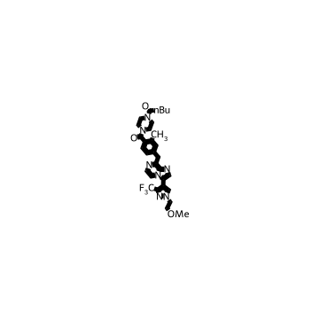 CCCCC(=O)N1CCN(C(=O)c2ccc(Cc3nccn4c(-c5cn(CCOC)nc5C(F)(F)F)cnc34)cc2C)CC1